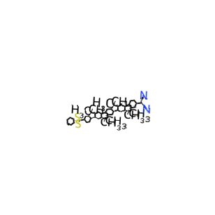 CC1(C)c2cc(=C(C#N)C#N)ccc2=c2cc3c(cc21)=c1cc2c(cc1C3(C)C)=c1cc3c(cc1C2(C)C)=c1ccc(=C2Sc4ccccc4S2)cc1C3(C)C